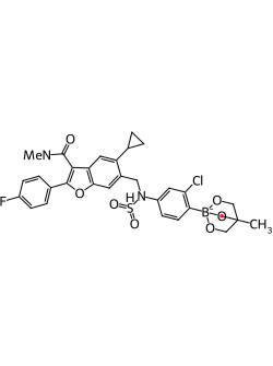 CNC(=O)c1c(-c2ccc(F)cc2)oc2cc(CN(c3ccc([B-]45OCC(C)(CO4)CO5)c(Cl)c3)[SH](=O)=O)c(C3CC3)cc12